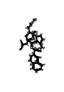 CC(C)CC12CC(N=[N+]=[N-])C(C)(O1)C1CCC(C)C1C2OC(=O)c1ccc2ccccc2c1